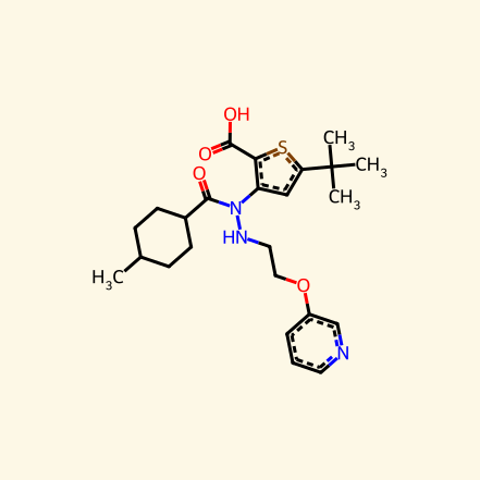 CC1CCC(C(=O)N(NCCOc2cccnc2)c2cc(C(C)(C)C)sc2C(=O)O)CC1